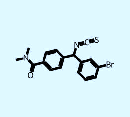 CN(C)C(=O)c1ccc(C(N=C=S)c2cccc(Br)c2)cc1